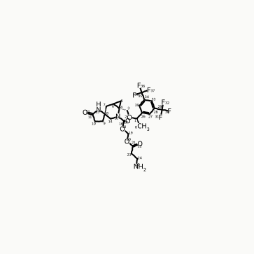 C[C@@H](OC[C@@]12CC1C[C@]1(CCC(=O)N1)CN2C(=O)OCOC(=O)CCN)c1cc(C(F)(F)F)cc(C(F)(F)F)c1